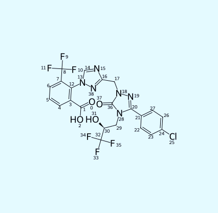 O=C(O)c1cccc(C(F)(F)F)c1-n1cnc(Cn2nc(-c3ccc(Cl)cc3)n(C[C@H](O)C(F)(F)F)c2=O)n1